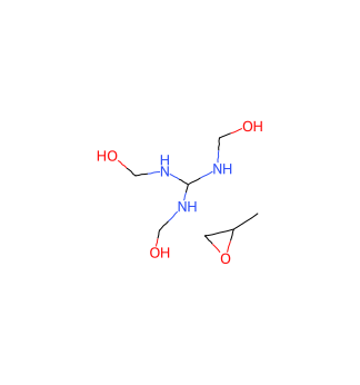 CC1CO1.OCNC(NCO)NCO